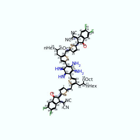 [C-]#[N+]/C(C#N)=C1\C(=c2\cc/c(=C\c3sc(C4=C(N)C(N)=C(c5cc(CC(CCCCCC)CCCCCCCC)c(/C=c6\cc/c(=C7\C(=O)c8cc(F)c(F)cc8\C7=C(\C#N)[N+]#[C-])s6)s5)C(=N)C4=N)cc3CC(CCCCCC)CCCCCCCC)s2)C(=O)c2cc(F)c(F)cc21